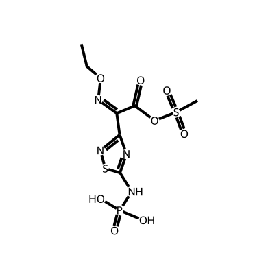 CCON=C(C(=O)OS(C)(=O)=O)c1nsc(NP(=O)(O)O)n1